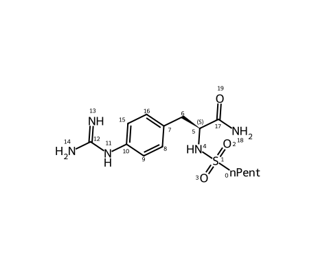 CCCCCS(=O)(=O)N[C@@H](Cc1ccc(NC(=N)N)cc1)C(N)=O